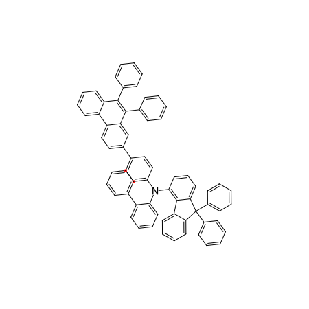 c1ccc(-c2ccccc2N(c2ccc(-c3ccc4c(c3)c(-c3ccccc3)c(-c3ccccc3)c3ccccc34)cc2)c2cccc3c2-c2ccccc2C3(c2ccccc2)c2ccccc2)cc1